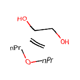 C=C.CCCOCCC.OCCO